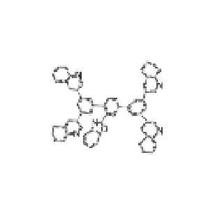 c1ccc2ncc(-c3cc(-c4ccc(-c5cc(-c6cnc7ccccc7c6)cc(-c6cnc7ccccc7c6)c5)c(-c5nc6ccccc6o5)c4)cc(-c4cnc5ccccc5c4)c3)cc2c1